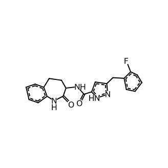 O=C(NC1CCc2ccccc2NC1=O)c1cc(Cc2ccccc2F)n[nH]1